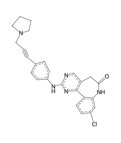 O=C1Cc2cnc(Nc3ccc(C#CCN4CCCC4)cc3)nc2-c2ccc(Cl)cc2N1